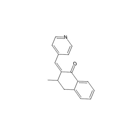 CC1Cc2ccccc2C(=O)/C1=C\c1ccncc1